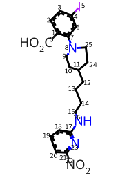 O=C(O)c1ccc(I)cc1N1CCC(CCCCNc2cccc([N+](=O)[O-])n2)CC1